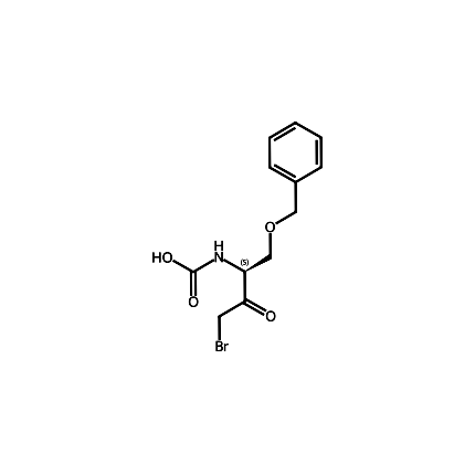 O=C(O)N[C@@H](COCc1ccccc1)C(=O)CBr